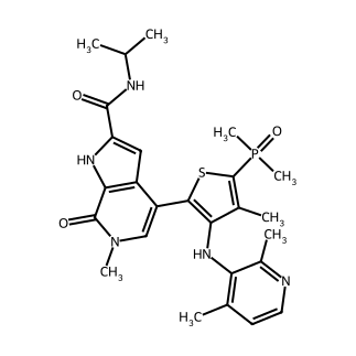 Cc1ccnc(C)c1Nc1c(-c2cn(C)c(=O)c3[nH]c(C(=O)NC(C)C)cc23)sc(P(C)(C)=O)c1C